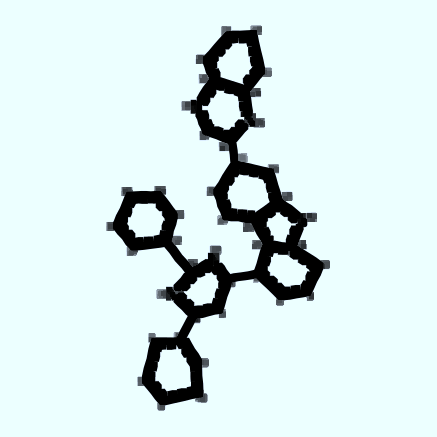 c1ccc(-c2cc(-c3cccc4sc5cc(-c6cnc7ccccc7n6)ccc5c34)nc(-c3ccccc3)n2)cc1